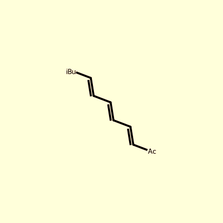 CCC(C)/C=C/C=C/C=C/C(C)=O